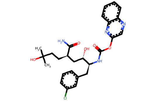 CC(C)(O)CC[C@H](C[C@H](O)[C@H](Cc1cccc(Cl)c1)NC(=O)Oc1cnc2ccccc2n1)C(N)=O